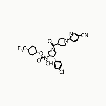 CN(C(=O)O[C@H]1CC[C@H](C(F)(F)F)CC1)[C@H]1CN(C(=O)C2CCN(c3ccc(C#N)cn3)CC2)C[C@@H]1c1ccc(Cl)cc1